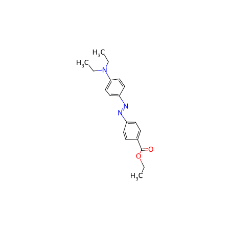 CCOC(=O)c1ccc(/N=N/c2ccc(N(CC)CC)cc2)cc1